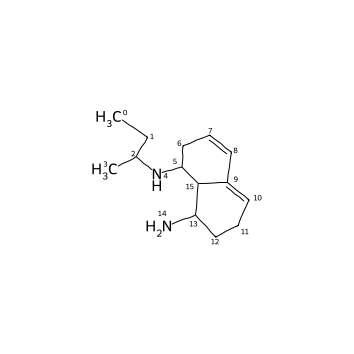 CCC(C)NC1CC=CC2=CCCC(N)C21